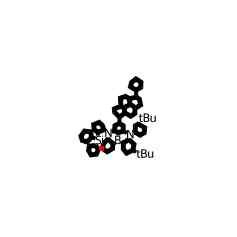 CC(C)(C)c1cccc(N2c3cc(C(C)(C)C)ccc3B3c4cccc5c4N(c4ccccc4[Si]5(c4ccccc4)c4ccccc4)c4cc(-c5ccc6ccc7c(-c8ccccc8)ccc8ccc5c6c87)cc2c43)c1